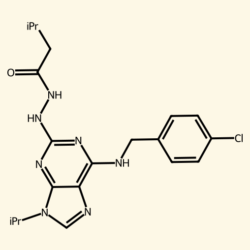 CC(C)CC(=O)NNc1nc(NCc2ccc(Cl)cc2)c2ncn(C(C)C)c2n1